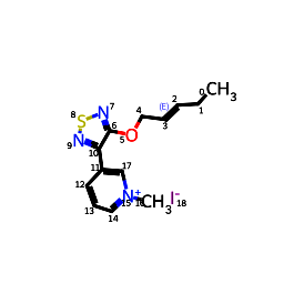 CC/C=C/COc1nsnc1-c1ccc[n+](C)c1.[I-]